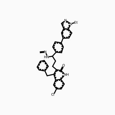 C=NNC(CCc1c(Cc2ccccc2)c2cc(Cl)ccc2[nH]c1=O)c1ccc(-c2ccc3c(cnn3CC)c2)cc1